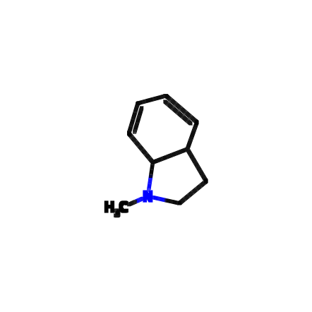 CN1CCC2C=CC=CC21